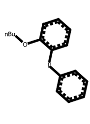 CCCCOc1ccccc1[I+]c1ccccc1